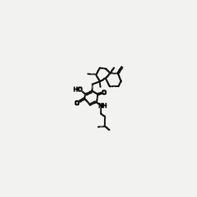 C=C1CCCC2C1(C)CCC(C)C2(C)CC1=C(O)C(=O)C=C(NCCC(C)C)C1=O